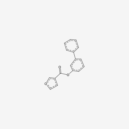 O=C(Oc1cccc(-c2ccccc2)c1)c1ccoc1